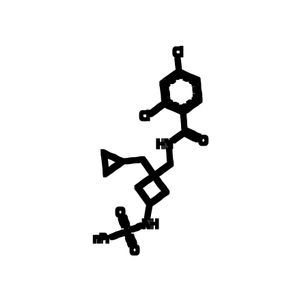 CCCS(=O)(=O)NC1CC(CNC(=O)c2ccc(Cl)cc2Cl)(CC2CC2)C1